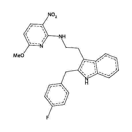 COc1ccc([N+](=O)[O-])c(NCCc2c(Cc3ccc(F)cc3)[nH]c3ccccc23)n1